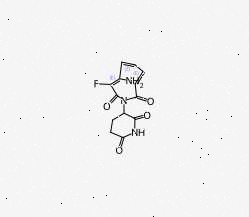 NC1=C(/F)C(=O)N(C2CCC(=O)NC2=O)C(=O)/C=C/C=C\1